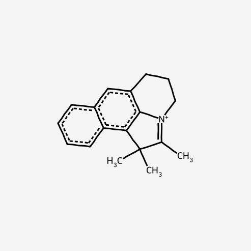 CC1=[N+]2CCCc3cc4ccccc4c(c32)C1(C)C